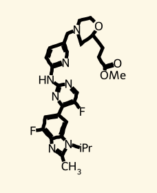 COC(=O)CCC1CN(Cc2ccc(Nc3ncc(F)c(-c4cc(F)c5nc(C)n(C(C)C)c5c4)n3)nc2)CCO1